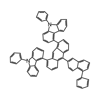 c1ccc(-c2cccc3cc(-c4c5cccc(-c6cccc7c6c6ccccc6n7-c6ccccc6)c5cc5c(-c6cccc7c6c6ccccc6n7-c6ccccc6)cccc45)ccc23)cc1